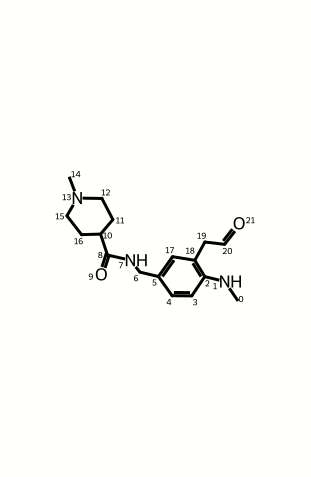 CNc1ccc(CNC(=O)C2CCN(C)CC2)cc1CC=O